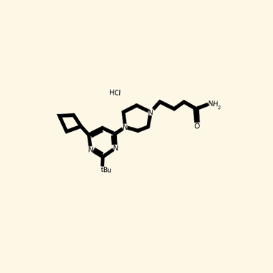 CC(C)(C)c1nc(C2CCC2)cc(N2CCN(CCCC(N)=O)CC2)n1.Cl